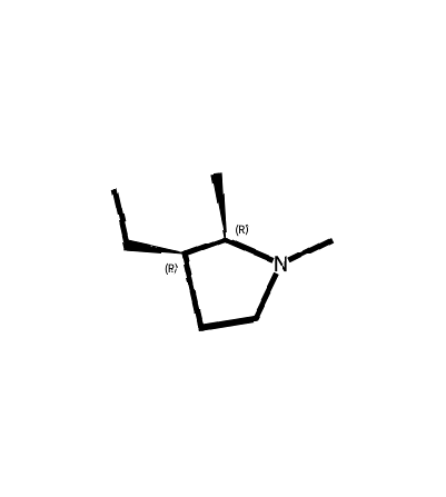 CC[C@@H]1CCN(C)[C@@H]1C